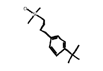 CC(C)(C)c1ccc(CC[Si](C)(C)Cl)cc1